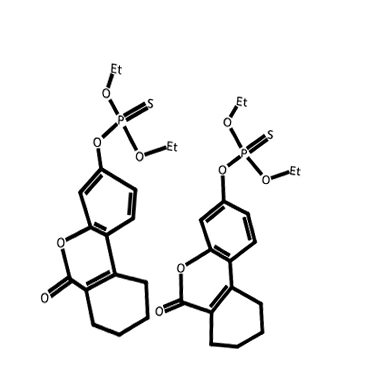 CCOP(=S)(OCC)Oc1ccc2c3c(c(=O)oc2c1)CCCC3.CCOP(=S)(OCC)Oc1ccc2c3c(c(=O)oc2c1)CCCC3